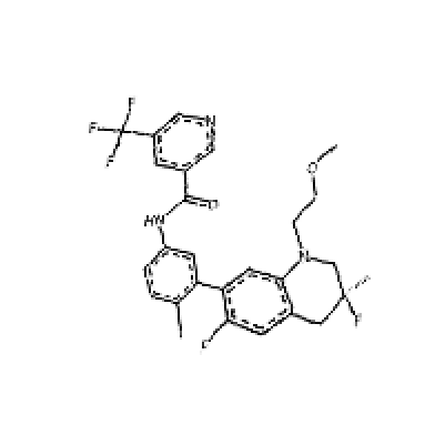 COCCN1C[C@@](C)(F)Cc2cc(F)c(-c3cc(NC(=O)c4cncc(C(F)(F)F)c4)ccc3C)cc21